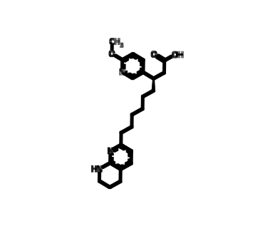 COc1ccc([C@H](CCCCCCc2ccc3c(n2)NCCC3)CC(=O)O)cn1